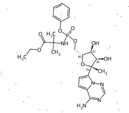 CCOC(=O)C(C)(C)NP(=O)(OC[C@H]1O[C@@](C)(c2ccc3c(N)ncnn23)[C@H](O)[C@@H]1O)Oc1ccccc1